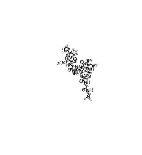 CCCCCCCC[C@H](NC(=O)[C@@H]1CCCN1C(=O)c1cccs1)C(=O)NCC(=O)N(C(C)C)C(C)(C)C(=O)NCC(=O)N(C(C)C)[C@@H](CC(C)C)C(=O)NC(C)(C)C(=O)NC(C)(C)C(=O)NCCC(=O)NCCN(C)C